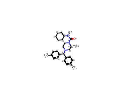 CCN(C(=O)N1CCN(C(c2ccc(C(F)(F)F)cc2)c2ccc(C(F)(F)F)cc2)C[C@@H]1C(C)(C)C)C1CCCCC1